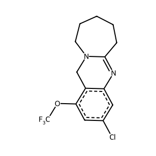 FC(F)(F)Oc1cc(Cl)cc2c1CN1CCCCCC1=N2